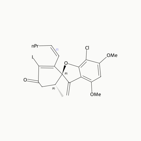 C=C1c2c(OC)cc(OC)c(Cl)c2O[C@@]12C(/C=C\CCC)=C(I)C(=O)C[C@H]2C